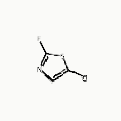 Fc1n[c]c(Cl)s1